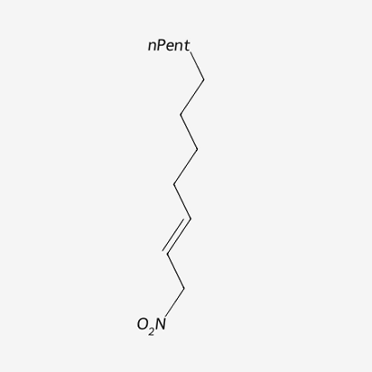 CCCCCCCCCC=CC[N+](=O)[O-]